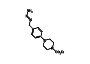 CCOC(=O)N1CCN(c2ccc(CN=NN)cc2)CC1